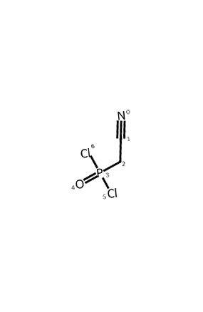 N#CCP(=O)(Cl)Cl